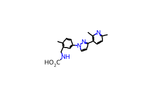 Cc1ccc(-c2ccn(-c3ccc(C)c(CNC(=O)O)c3)n2)c(C)n1